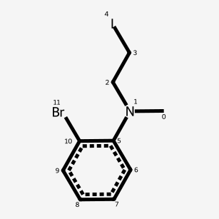 CN(CCI)c1ccccc1Br